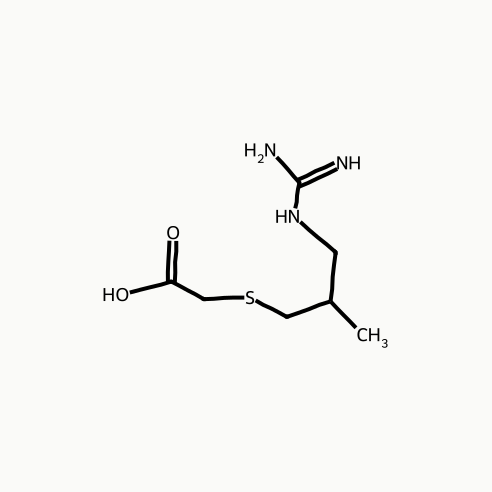 CC(CNC(=N)N)CSCC(=O)O